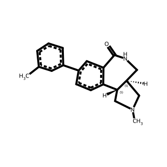 Cc1cccc(-c2ccc3c(c2)C(=O)NC[C@H]2CN(C)C[C@H]32)c1